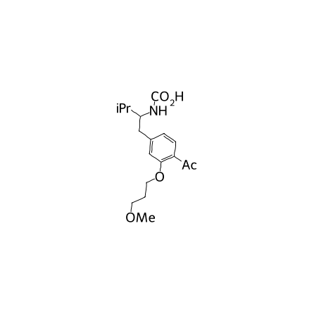 COCCCOc1cc(CC(NC(=O)O)C(C)C)ccc1C(C)=O